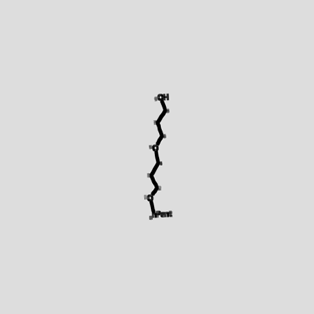 CCCCCOCCCOCCCO